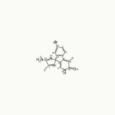 CC1=NC(c2cccc(Br)c2)(c2c[nH]c(=O)c(C)c2)N=C1N